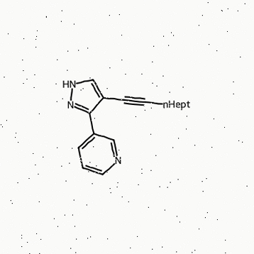 CCCCCCCC#Cc1c[nH]nc1-c1cccnc1